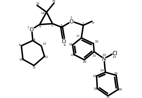 CC(OC(=O)C1C(OC2CCCCC2)C1(C)C)c1cccc(N(Cl)c2ccccc2)c1